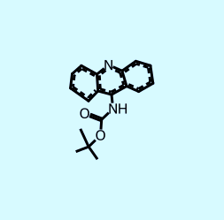 CC(C)(C)OC(=O)Nc1c2ccccc2nc2ccccc12